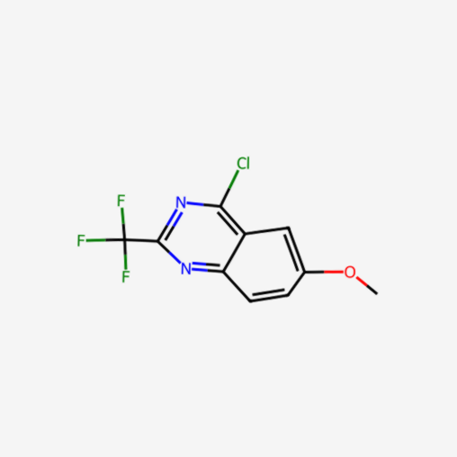 COc1ccc2nc(C(F)(F)F)nc(Cl)c2c1